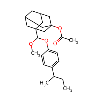 CCC(C)c1ccc(OC(OC)C23CC4CC(CC(OC(C)=O)(C4)C2)C3)cc1